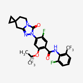 C[C@H](Oc1cc(-n2nc3n(c2=O)CCC2(CC2)C3)c(F)cc1C(=O)Nc1c(F)cccc1C(F)(F)F)C(F)(F)F